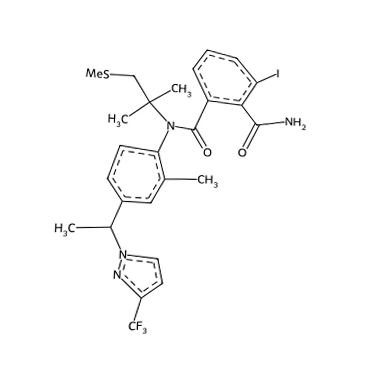 CSCC(C)(C)N(C(=O)c1cccc(I)c1C(N)=O)c1ccc(C(C)n2ccc(C(F)(F)F)n2)cc1C